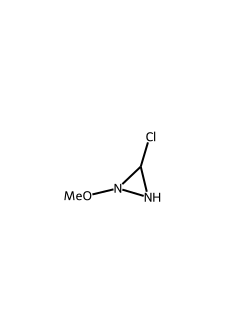 CON1NC1Cl